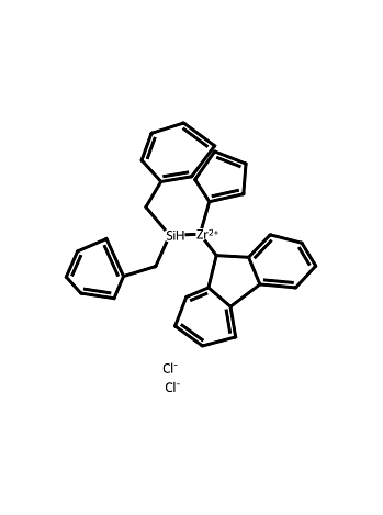 C1=CC[C]([Zr+2]([CH]2c3ccccc3-c3ccccc32)[SiH](Cc2ccccc2)Cc2ccccc2)=C1.[Cl-].[Cl-]